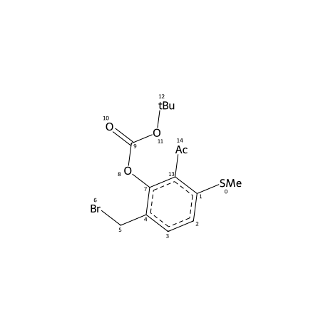 CSc1ccc(CBr)c(OC(=O)OC(C)(C)C)c1C(C)=O